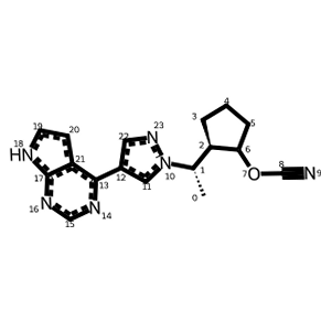 C[C@@H]([C@H]1CCCC1OC#N)n1cc(-c2ncnc3[nH]ccc23)cn1